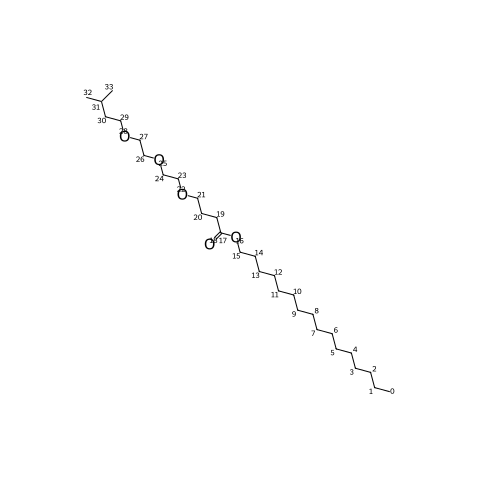 CCCCCCCCCCCCCCCCOC(=O)CCCOCCOCCOCCC(C)C